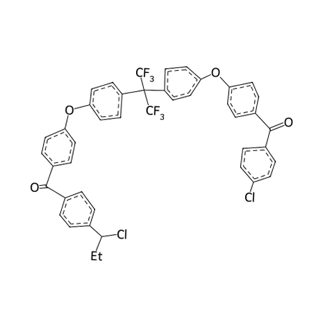 CCC(Cl)c1ccc(C(=O)c2ccc(Oc3ccc(C(c4ccc(Oc5ccc(C(=O)c6ccc(Cl)cc6)cc5)cc4)(C(F)(F)F)C(F)(F)F)cc3)cc2)cc1